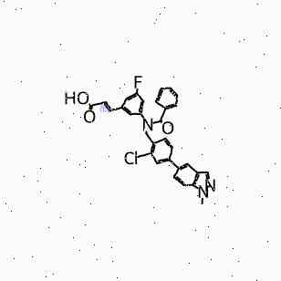 Cn1ncc2cc(-c3ccc(CN(C(=O)c4ccccc4)c4cc(F)cc(/C=C/C(=O)O)c4)c(Cl)c3)ccc21